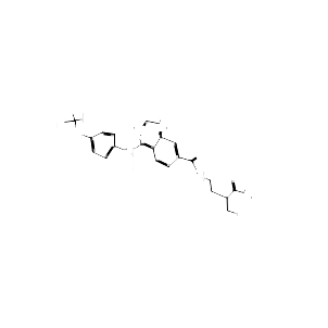 CCC(CCNC(=O)c1ccc2c(Nc3ccc(OC(F)(F)F)cc3)ncnc2c1)C(N)=O